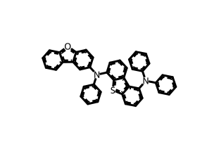 c1ccc(N(c2ccc3oc4ccccc4c3c2)c2cccc3c2sc2cccc(N(c4ccccc4)c4ccccc4)c23)cc1